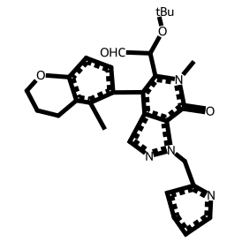 Cc1c(-c2c(C(C=O)OC(C)(C)C)n(C)c(=O)c3c2cnn3Cc2ccccn2)ccc2c1CCCO2